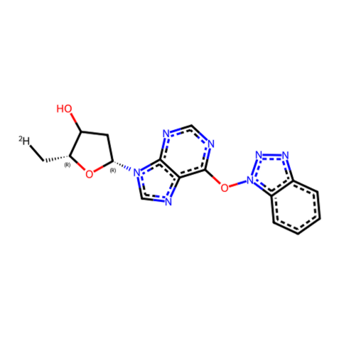 [2H]C[C@H]1O[C@@H](n2cnc3c(On4nnc5ccccc54)ncnc32)CC1O